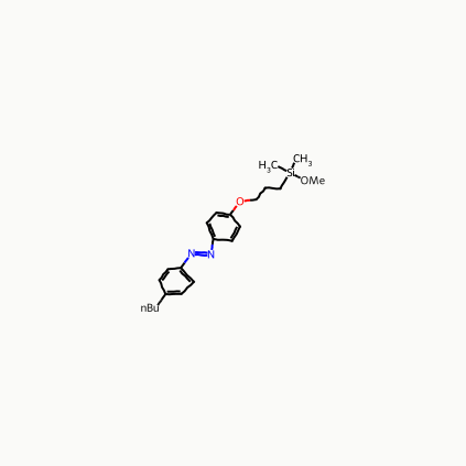 CCCCc1ccc(N=Nc2ccc(OCCC[Si](C)(C)OC)cc2)cc1